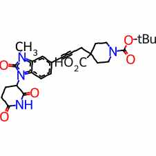 Cn1c(=O)n(C2CCC(=O)NC2=O)c2ccc(C#CCC3(C(=O)O)CCN(C(=O)OC(C)(C)C)CC3)cc21